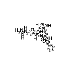 N=C(N)NCCC[C@@H](C=O)NC(=O)CNC(=O)[C@@H](CCCNC(=N)N)NC(=O)OCc1ccccc1